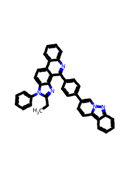 CCc1nc2c3c(-c4ccc(-c5ccc6c7ccccc7nn6c5)cc4)nc4ccccc4c3ccc2n1-c1ccccc1